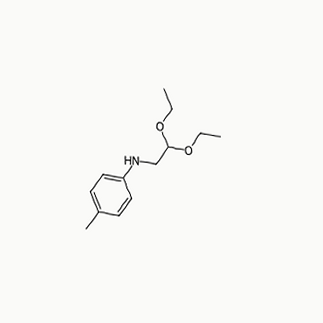 CCOC(CNc1ccc(C)cc1)OCC